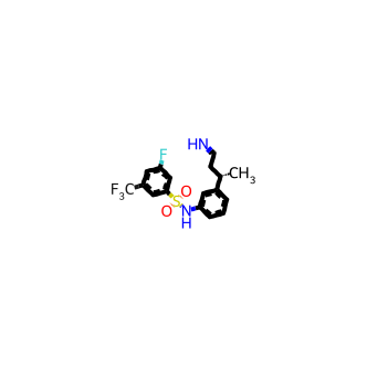 C[C@@H](CC=N)c1cccc(NS(=O)(=O)c2cc(F)cc(C(F)(F)F)c2)c1